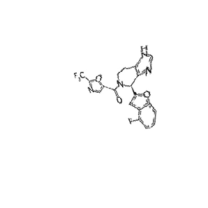 O=C(c1cnc(C(F)(F)F)o1)N1CCc2[nH]cnc2[C@H]1c1cc2c(F)cccc2o1